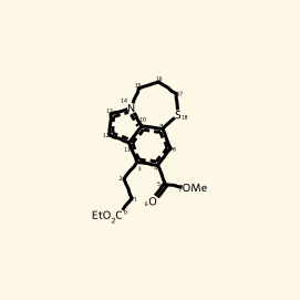 CCOC(=O)CCc1c(C(=O)OC)cc2c3c1ccn3CCCS2